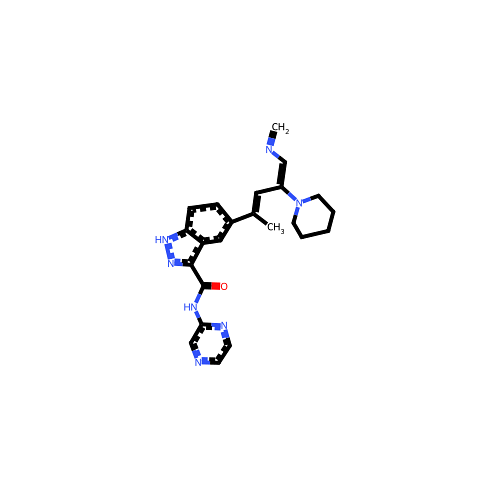 C=N/C=C(\C=C(/C)c1ccc2[nH]nc(C(=O)Nc3cnccn3)c2c1)N1CCCCC1